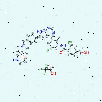 Cc1c(NC(=O)c2ccc(C(C)(C)O)cc2F)cc(F)cc1-c1ncnc2[nH]c(-c3ccc(CN4CCC5(CC4)CNCCO5)cc3)cc12.O=C(O)C(F)(F)F